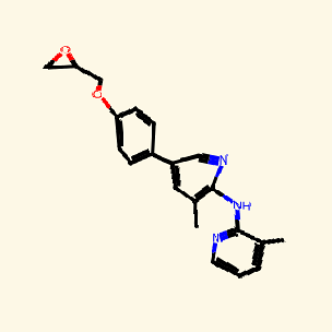 Cc1cccnc1Nc1ncc(-c2ccc(OCC3CO3)cc2)cc1C